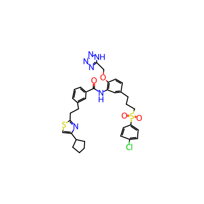 O=C(Nc1cc(CCCS(=O)(=O)c2ccc(Cl)cc2)ccc1OCc1nnn[nH]1)c1cccc(CCc2nc(C3CCCC3)cs2)c1